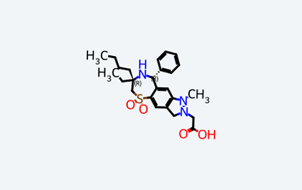 CCCC[C@]1(CC)CS(=O)(=O)c2cc3c(cc2[C@@H](c2ccccc2)N1)N(C)N(CC(=O)O)C3